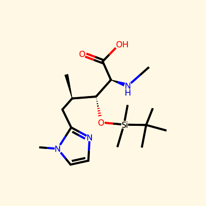 CN[C@H](C(=O)O)[C@H](O[Si](C)(C)C(C)(C)C)[C@H](C)Cc1nccn1C